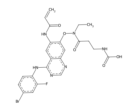 C=CC(=O)Nc1cc2c(Nc3ccc(Br)cc3F)ncnc2cc1ON(CC)C(=O)CCNC(=O)O